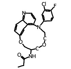 CCC(=O)NC1COCCN(c2ccc(F)c(Cl)c2)c2ccnc3ccc(cc23)OC1